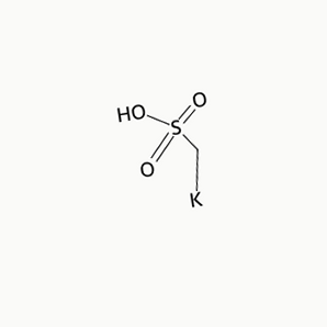 O=S(=O)(O)[CH2][K]